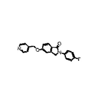 O=C1c2ccc(OCc3ccncc3)cc2CN1c1ccc(F)cc1